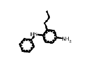 CCCc1cc(N)ccc1Nc1ccccc1